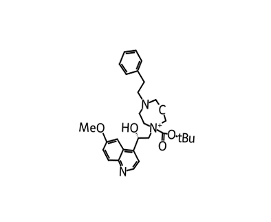 COc1ccc2nccc([C@H](O)C[N+]3(C(=O)OC(C)(C)C)CCCN(CCc4ccccc4)CC3)c2c1